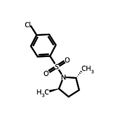 C[C@@H]1CC[C@@H](C)N1S(=O)(=O)c1ccc(Cl)cc1